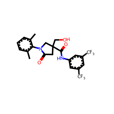 Cc1cccc(C)c1N1CC(CO)(C(=O)Nc2cc(C(F)(F)F)cc(C(F)(F)F)c2)CC1=O